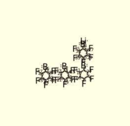 [B]c1c(F)c(F)c(F)c(F)c1F.[B]c1c(F)c(F)c(F)c(F)c1F.[B]c1c(F)c(F)c(F)c(F)c1F.[B]c1c(F)c(F)c(F)c(F)c1F.[Li]